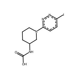 O=C(O)NC1CCCN(c2ccc(I)nn2)C1